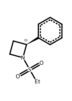 CCS(=O)(=O)N1CC[C@H]1c1ccccc1